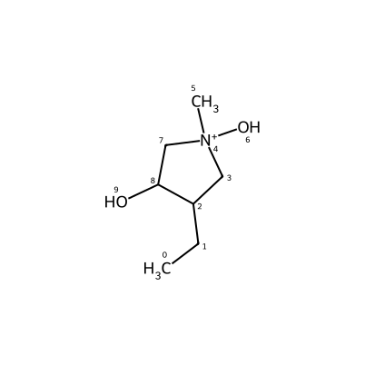 CCC1C[N+](C)(O)CC1O